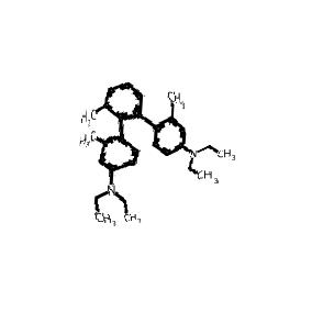 CCN(CC)c1ccc(-c2[c]ccc(C)c2-c2ccc(N(CC)CC)cc2C)c(C)c1